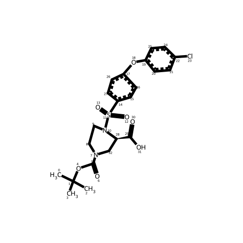 CC(C)(C)OC(=O)N1CCN(S(=O)(=O)c2ccc(Oc3ccc(Cl)cc3)cc2)[C@@H](C(=O)O)C1